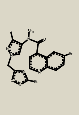 CCc1noc(Cn2cc(N(C(=O)c3ccnc4ccc(Br)cc34)C(F)(F)F)c(C)n2)n1